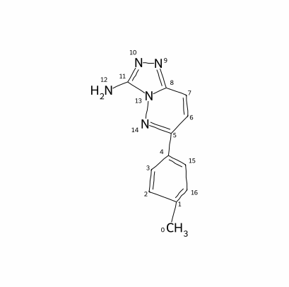 Cc1ccc(-c2ccc3nnc(N)n3n2)cc1